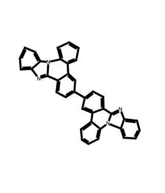 c1ccc2c(c1)nc1c3ccc(-c4ccc5c(c4)c4ccccc4n4c6ccccc6nc54)cc3c3ccccc3n21